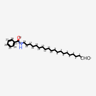 O=[C]CCCCCCCCCCCCCCCCCCCNC(=O)c1ccccc1